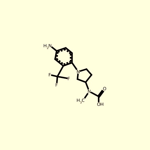 CN(C(=O)O)C1CCN(c2ccc(N)cc2C(F)(F)F)C1